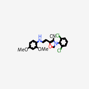 COc1ccc(NC=CC2=C(C#N)N(c3c(Cl)cccc3Cl)CO2)c(OC)c1